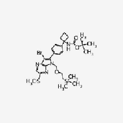 CSc1cnc2c(Br)c(-c3ccc(C4(NC(=O)OC(C)(C)C)CCC4)cc3)n(COCC[Si](C)(C)C)c2n1